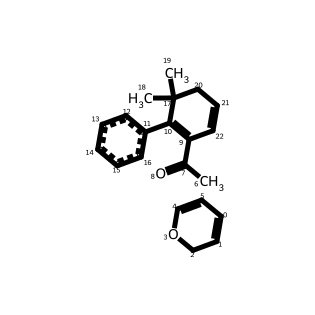 C1=CCOC=C1.CC(=O)C1=C(c2ccccc2)C(C)(C)CC=C1